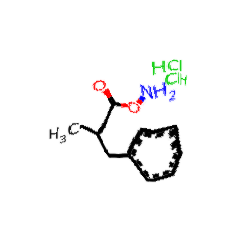 CC(Cc1ccccc1)C(=O)ON.Cl.Cl